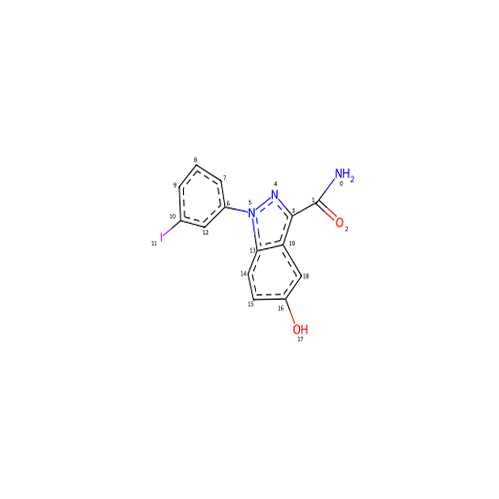 NC(=O)c1nn(-c2cccc(I)c2)c2ccc(O)cc12